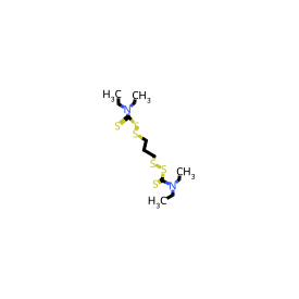 CCN(CC)C(=S)SSCCCSSC(=S)N(CC)CC